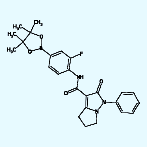 CC1(C)OB(c2ccc(NC(=O)c3c4n(n(-c5ccccc5)c3=O)CCC4)c(F)c2)OC1(C)C